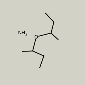 CCC(C)OC(C)CC.N